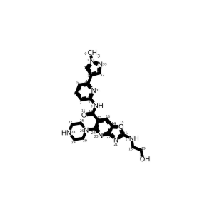 Cn1cc(-c2cccc(NC(=O)c3cc4oc(NCCO)nc4nc3N3CCNCC3)n2)cn1